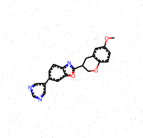 COc1ccc2c(c1)CC(c1nc3ccc(-c4cncnc4)cc3o1)CO2